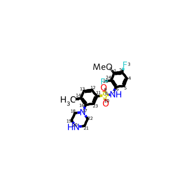 COc1c(F)ccc(NS(=O)(=O)c2ccc(C)c(N3CCNCC3)c2)c1F